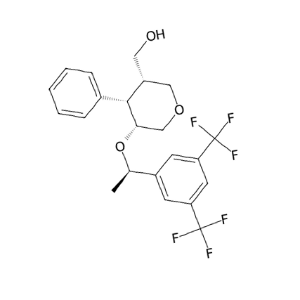 C[C@@H](O[C@H]1COC[C@@H](CO)[C@H]1c1ccccc1)c1cc(C(F)(F)F)cc(C(F)(F)F)c1